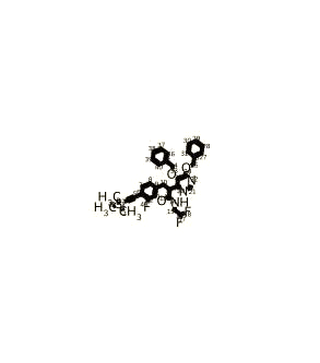 C[Si](C)(C)C#Cc1ccc(CC(C(=O)NCC(F)F)c2ncnc(OCc3ccccc3)c2OCc2ccccc2)cc1F